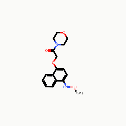 COBNc1ccc(OCC(=O)N2CCOCC2)c2ccccc12